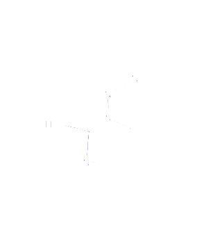 CC(N)N(C)NN